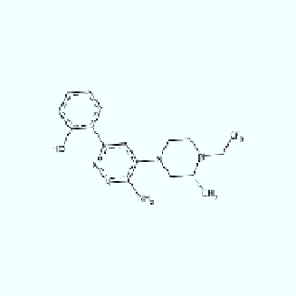 C[C@@H]1CN(c2cc(-c3ccccc3O)nnc2N)CCN1CC(F)(F)F